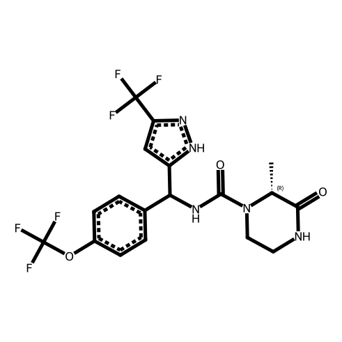 C[C@@H]1C(=O)NCCN1C(=O)NC(c1ccc(OC(F)(F)F)cc1)c1cc(C(F)(F)F)n[nH]1